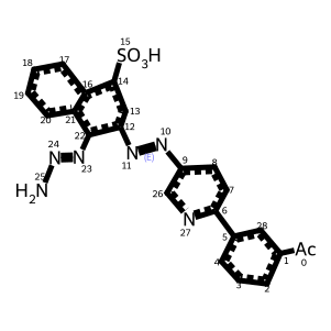 CC(=O)c1cccc(-c2ccc(/N=N/c3cc(S(=O)(=O)O)c4ccccc4c3N=NN)cn2)c1